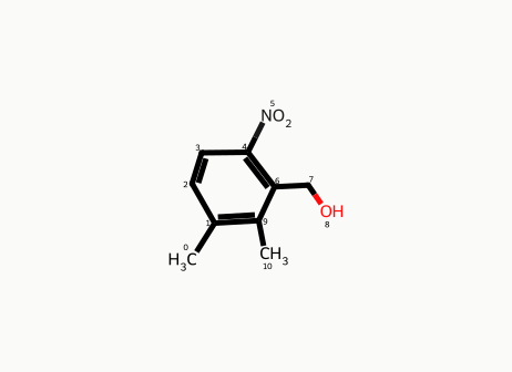 Cc1ccc([N+](=O)[O-])c(CO)c1C